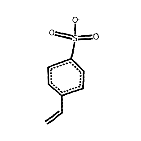 C=Cc1ccc(S([O])(=O)=O)cc1